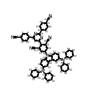 N#Cc1ccc(-c2cc(-c3c(C#N)cc(-n4c5ccc(N(c6ccccc6)c6ccccc6)cc5c5cc(N(c6ccccc6)c6ccccc6)ccc54)cc3C#N)nc(-c3ccc(C#N)cc3)n2)cc1